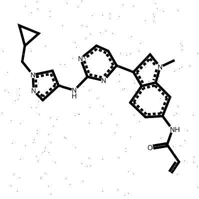 C=CC(=O)Nc1ccc2c(-c3ccnc(Nc4cnn(CC5CC5)c4)n3)cn(C)c2c1